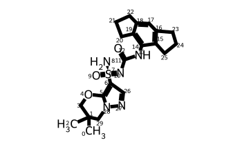 CC1(C)COc2c([S@](N)(=O)=NC(=O)Nc3c4c(cc5c3CCC5)CCC4)cnn2C1